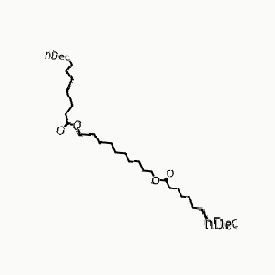 CCCCCCCCCCCCCCCCC(=O)OCCCCCCCCCCOC(=O)CCCCCCCCCCCCCCCC